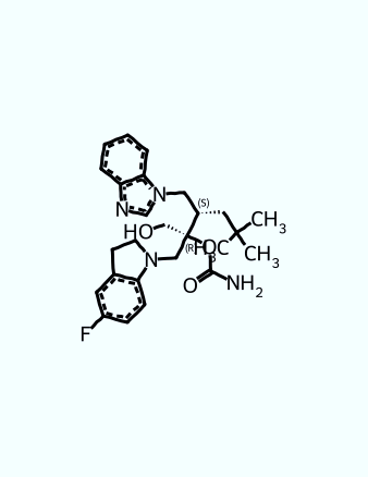 CC(C)(C)C[C@@H](Cn1cnc2ccccc21)[C@](CO)(CN1CCc2cc(F)ccc21)OC(N)=O